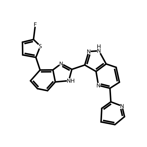 Fc1ccc(-c2cccc3[nH]c(-c4n[nH]c5ccc(-c6ccccn6)nc45)nc23)s1